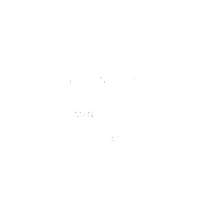 CC/C(NC)=C1\C=CS\C1=N\CI